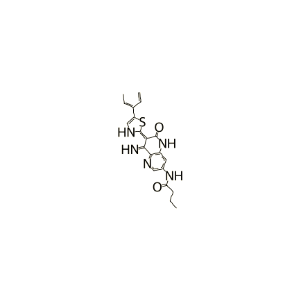 C=C/C(=C\C)C1=CN/C(=C2\C(=N)c3ncc(NC(=O)CCC)cc3NC2=O)S1